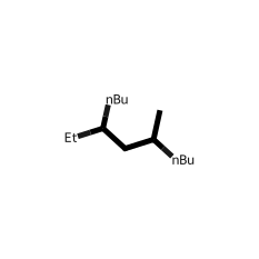 CCCC[C](C)CC(CC)CCCC